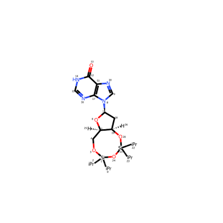 CC(C)[Si]1(C(C)C)OC[C@H]2O[C@@H](n3cnc4c(=O)[nH]cnc43)C[C@H]2O[Si](C(C)C)(C(C)C)O1